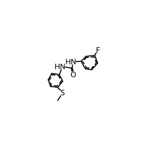 CSc1cccc(NC(=O)Nc2cccc(F)c2)c1